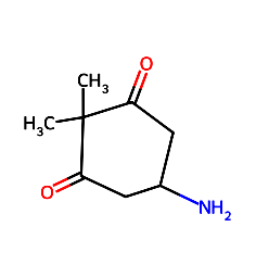 CC1(C)C(=O)CC(N)CC1=O